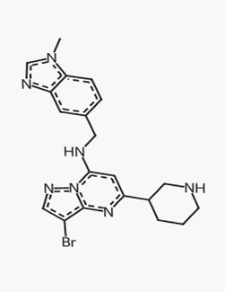 Cn1cnc2cc(CNc3cc(C4CCCNC4)nc4c(Br)cnn34)ccc21